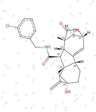 C=C1C[C@]23C[C@@]1(O)CC[C@H]2C1=C[C@H]2CC(=O)[C@@](C)([C@H]1[C@@H]3C(=O)NCc1cccc(Cl)c1)[C@H]2O